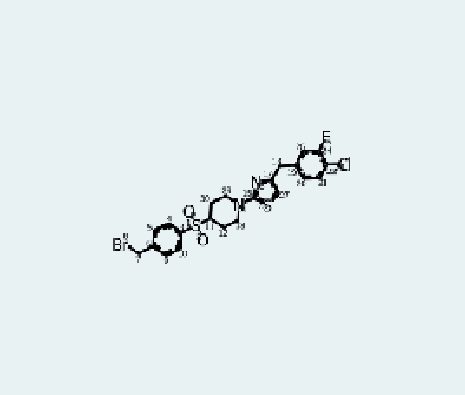 O=S(=O)(c1ccc(CBr)cc1)C1CCN(c2nc(Cc3ccc(Cl)c(F)c3)cs2)CC1